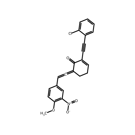 COc1ccc(C=C=C2CCC=C(C#Cc3ccccc3Cl)C2=O)cc1[N+](=O)[O-]